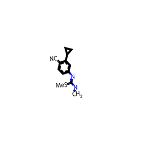 C=N/C(=N/c1ccc(C#N)c(C2CC2)c1)SC